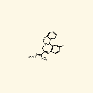 CO/N=C(/C1=Nc2ccc(Cl)cc2C(c2ccccc2F)=[N+]([O-])C1)[N+](=O)[O-]